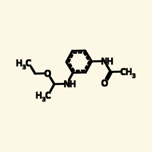 CCOC(C)Nc1cccc(NC(C)=O)c1